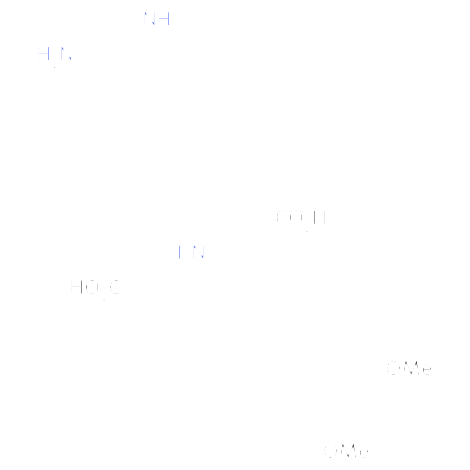 COc1cc(CCC(=O)O)c(C(Nc2ccc(C(=N)N)cc2)C(=O)O)cc1OC